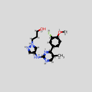 CCOc1ccc(-c2nc(Nc3cnn(CCCO)c3)ncc2C)cc1F